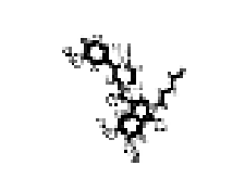 CCCCCn1cc(C(=O)N2CCNC(c3cccc(OC)c3)C2)c2cc(OC)c(OC)cc2c1=O